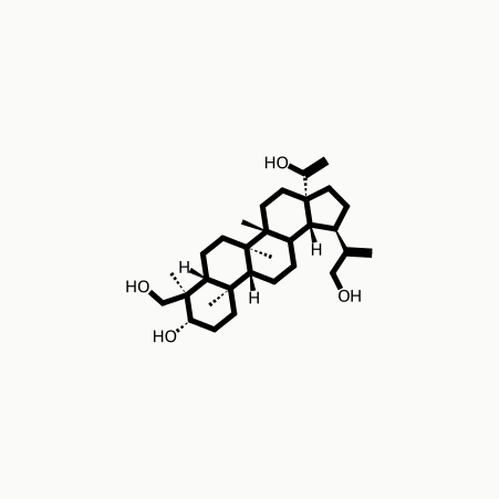 C=C(CO)[C@@H]1CC[C@]2(C(=C)O)CC[C@]3(C)C(CC[C@@H]4[C@@]5(C)CC[C@H](O)[C@@](C)(CO)[C@@H]5CC[C@]43C)[C@@H]12